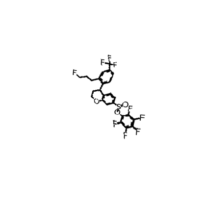 O=S(Oc1c(F)c(F)c(F)c(F)c1F)c1ccc2c(c1)OCCC2c1ccc(C(F)(F)F)cc1CCCF